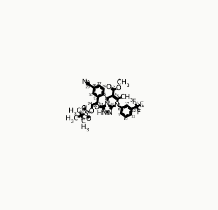 COC(=O)C1=C(C)N(c2cccc(C(F)(F)F)c2)c2n[nH]c(=O)n2[C@@H]1c1ccc(C#N)cc1CCOS(=O)(=O)C(C)(C)C